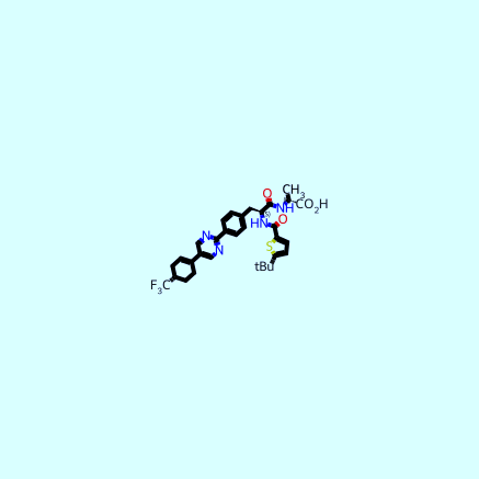 C[C@@H](NC(=O)[C@H](Cc1ccc(-c2ncc(C3=CCC(C(F)(F)F)CC3)cn2)cc1)NC(=O)c1ccc(C(C)(C)C)s1)C(=O)O